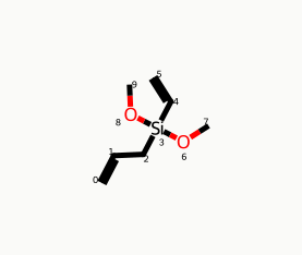 C=CC[Si](C=C)(OC)OC